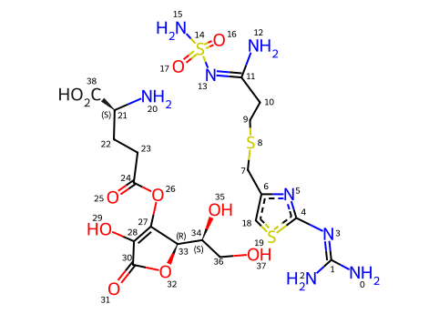 NC(N)=Nc1nc(CSCCC(N)=NS(N)(=O)=O)cs1.N[C@@H](CCC(=O)OC1=C(O)C(=O)O[C@@H]1[C@@H](O)CO)C(=O)O